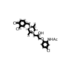 CC(=O)Nc1cc(Cl)ccc1OCC(O)CN1CC(C)N(Cc2ccc(Cl)c(Cl)c2)CC1C